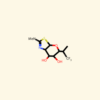 CNC1=NC2C(OC(C(C)C(F)(F)F)C(O)C2O)S1